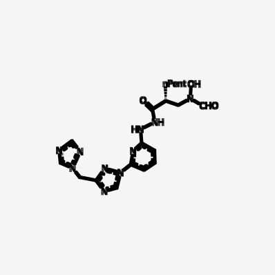 CCCCC[C@H](CN(O)C=O)C(=O)NNc1cccc(-n2cnc(Cn3cncn3)n2)n1